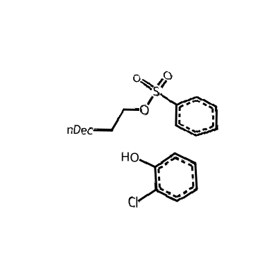 CCCCCCCCCCCCOS(=O)(=O)c1ccccc1.Oc1ccccc1Cl